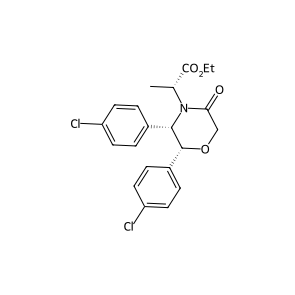 CCOC(=O)[C@@H](C)N1C(=O)CO[C@H](c2ccc(Cl)cc2)[C@@H]1c1ccc(Cl)cc1